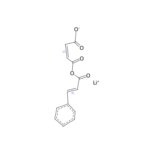 O=C([O-])/C=C\C(=O)OC(=O)/C=C/c1ccccc1.[Li+]